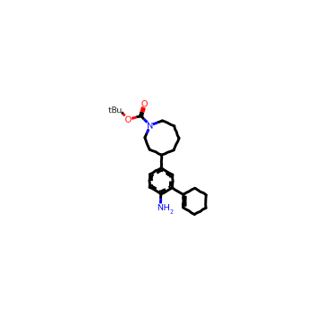 CC(C)(C)OC(=O)N1CCCCC(c2ccc(N)c(C3=CCCCC3)c2)CC1